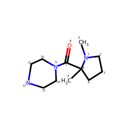 CN1CCCC1(C)C(=O)N1CC[N]CC1